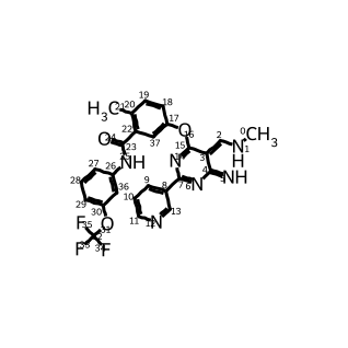 CN/C=C1\C(=N)N=C(c2cccnc2)N=C1Oc1ccc(C)c(C(=O)Nc2cccc(OC(F)(F)F)c2)c1